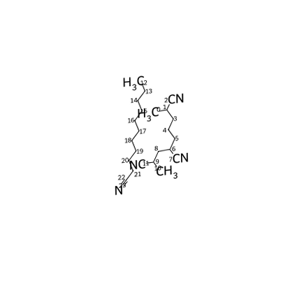 CC(C#N)CCCC(C#N)CC(C)C#N.CCCCCCCCCCC#N